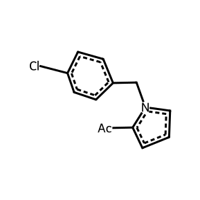 CC(=O)c1cccn1Cc1ccc(Cl)cc1